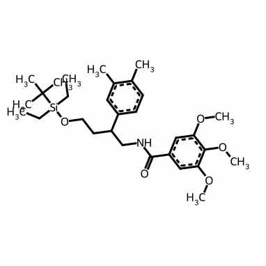 CC[Si](CC)(OCCC(CNC(=O)c1cc(OC)c(OC)c(OC)c1)c1ccc(C)c(C)c1)C(C)(C)C